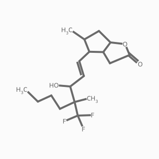 CCCCC(C)(C(O)C=CC1C(C)CC2OC(=O)CC21)C(F)(F)F